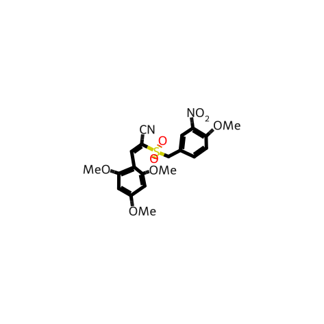 COc1cc(OC)c(/C=C(/C#N)S(=O)(=O)Cc2ccc(OC)c([N+](=O)[O-])c2)c(OC)c1